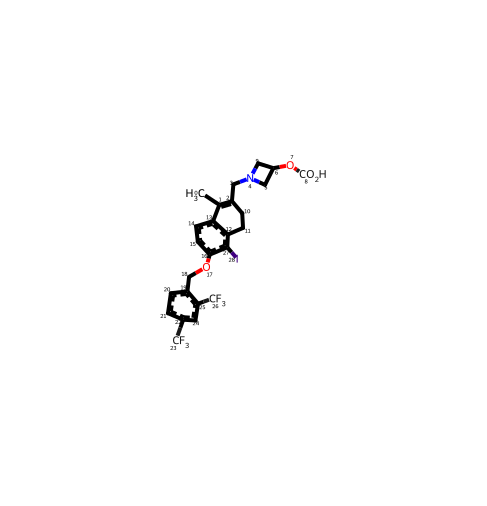 CC1=C(CN2CC(OC(=O)O)C2)CCc2c1ccc(OCc1ccc(C(F)(F)F)cc1C(F)(F)F)c2I